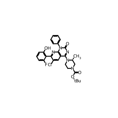 C[C@H]1CN(C(=O)OC(C)(C)C)CCN1c1nc(=O)n(-c2ccccc2)c2nc(-c3c(O)cccc3F)c(Cl)cc12